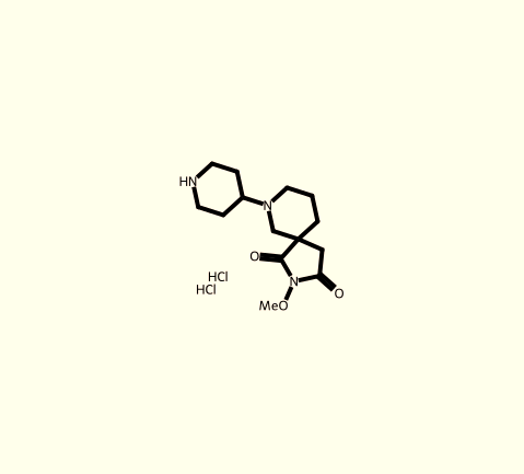 CON1C(=O)CC2(CCCN(C3CCNCC3)C2)C1=O.Cl.Cl